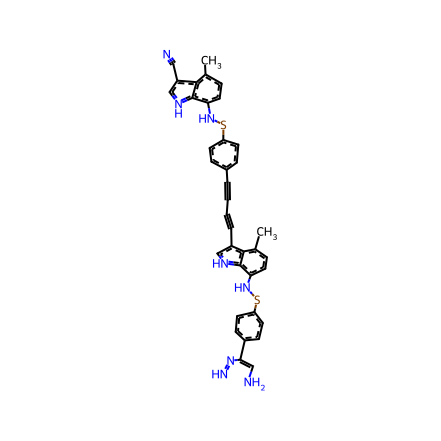 Cc1ccc(NSc2ccc(C#CC#Cc3c[nH]c4c(NSc5ccc(/C(=C/N)N=N)cc5)ccc(C)c34)cc2)c2[nH]cc(C#N)c12